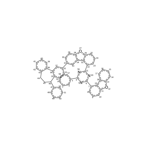 c1ccc(-c2nc(-c3cccc4oc5ccccc5c34)nc(-c3cccc4oc5ccc(-c6ccc7c(c6)-c6ccccc6CCC7c6ccccc6)cc5c34)n2)cc1